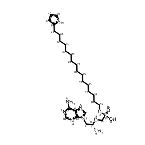 C[C@H](Cn1cnc2c(N)ncnc21)OCP(=O)(O)OCCCCCCCCCCCCCCCCc1cccs1